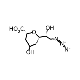 [N-]=[N+]=NC[C@@H](O)[C@@H]1C[C@@H](O)C[C@H](C(=O)O)O1